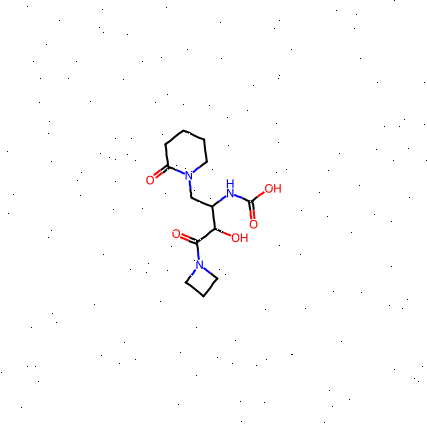 O=C(O)NC(CN1CCCCC1=O)C(O)C(=O)N1CCC1